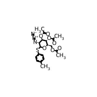 CC(=O)OC[C@H]1OC(Sc2ccc(C)cc2)[C@H](N=[N+]=[N-])[C@@H](OC(C)=O)[C@@H]1OC(C)=O